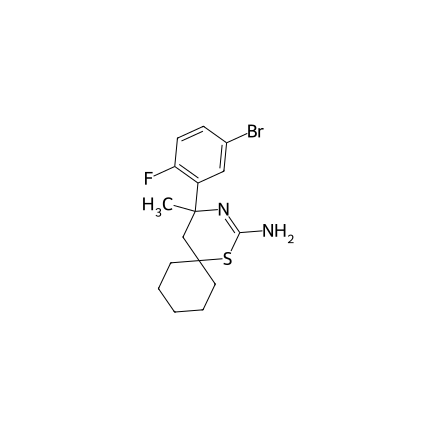 CC1(c2cc(Br)ccc2F)CC2(CCCCC2)SC(N)=N1